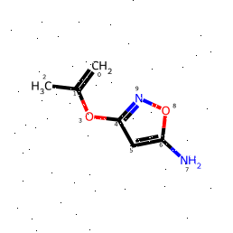 C=C(C)Oc1cc(N)on1